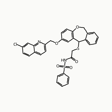 O=C(CSC1c2ccccc2COc2ccc(OCc3ccc4ccc(Cl)cc4n3)cc21)NS(=O)(=O)c1ccccc1